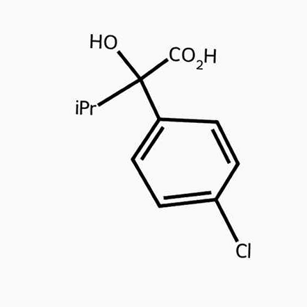 CC(C)C(O)(C(=O)O)c1ccc(Cl)cc1